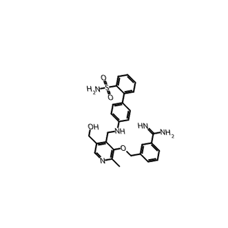 Cc1ncc(CO)c(CNc2ccc(-c3ccccc3S(N)(=O)=O)cc2)c1OCc1cccc(C(=N)N)c1